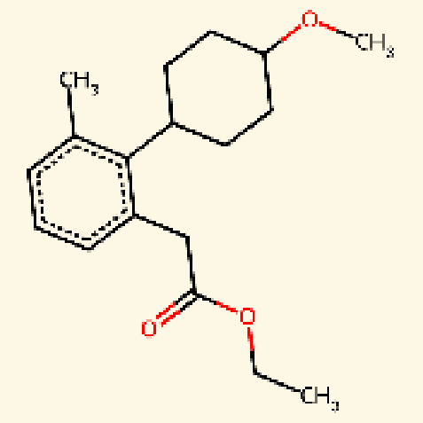 CCOC(=O)Cc1cccc(C)c1C1CCC(OC)CC1